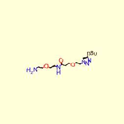 CCCCc1cn(CCOCCC(=O)NCCOCCN)nn1